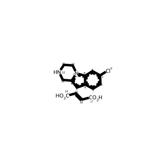 Clc1ccc2cc3n(c2c1)CCNC3.O=C(O)C=CC(=O)O